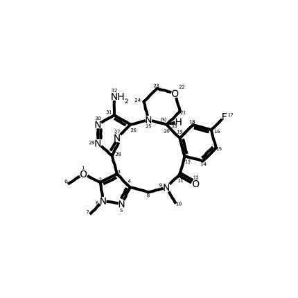 COc1c2c(nn1C)CN(C)C(=O)c1ccc(F)cc1[C@H]1COCCN1c1nc-2nnc1N